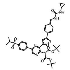 CC(C)S(=O)(=O)c1ccc(-c2cnc(N(C(=O)OC(C)(C)C)C(=O)OC(C)(C)C)c(-c3cc(C4=CCC(=CNC(=O)NC5CC5)C=C4)no3)n2)cc1